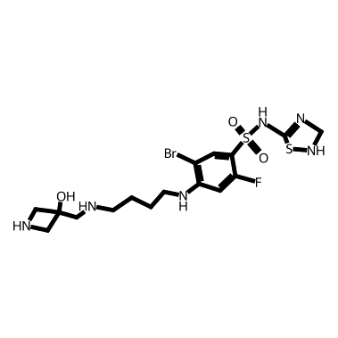 O=S(=O)(NC1=NCNS1)c1cc(Br)c(NCCCCNCC2(O)CNC2)cc1F